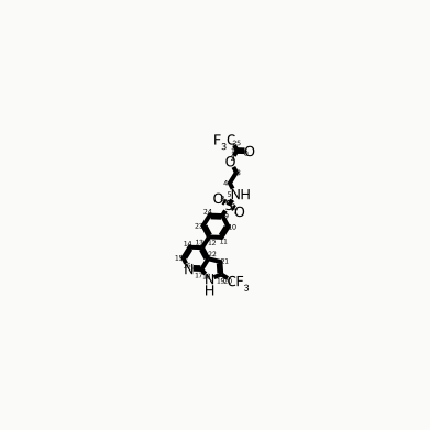 O=C(OCCNS(=O)(=O)c1ccc(-c2ccnc3[nH]c(C(F)(F)F)cc23)cc1)C(F)(F)F